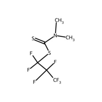 CN(C)C(=S)SC(F)(F)C(F)(F)C(F)(F)F